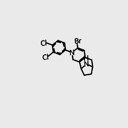 Clc1ccc(N2CC3=C(C=C2Br)CC2CCC3N2)cc1Cl